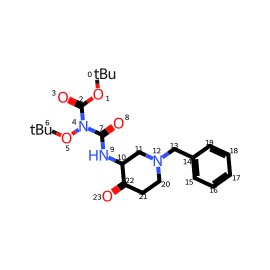 CC(C)(C)OC(=O)N(OC(C)(C)C)C(=O)NC1CN(Cc2ccccc2)CCC1=O